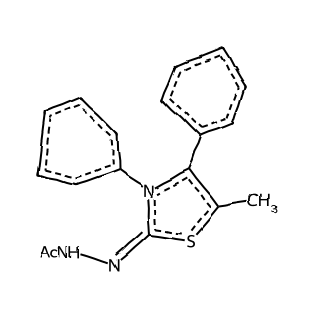 CC(=O)NN=c1sc(C)c(-c2ccccc2)n1-c1ccccc1